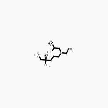 CCN(CCCC(C)(C)CC)CC(C)C